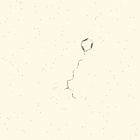 O=C(O)CNC(CCCCCOc1ccccc1)C(=O)O